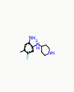 Cc1cc(N)c(NC2CCNCC2)cc1F